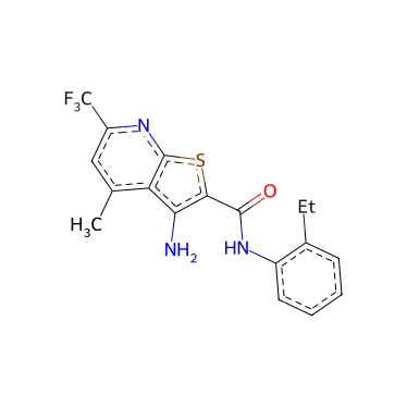 CCc1ccccc1NC(=O)c1sc2nc(C(F)(F)F)cc(C)c2c1N